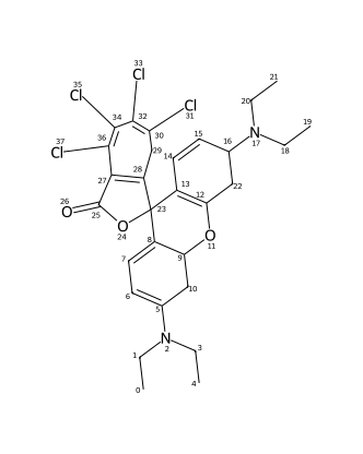 CCN(CC)C1=CC=C2C(C1)OC1=C(C=CC(N(CC)CC)C1)C21OC(=O)C2=C1CC(Cl)=C(Cl)C(Cl)=C2Cl